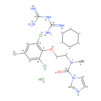 C1CCCCC1.CCCN(CCOc1c(Cl)cc(Cl)cc1Cl)C(=O)n1ccnc1.Cl.N=C(N)NC(=N)N